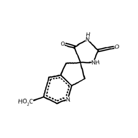 O=C1NC(=O)C2(Cc3cc(C(=O)O)cnc3C2)N1